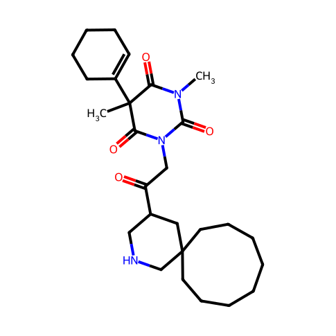 CN1C(=O)N(CC(=O)C2CNCC3(CCCCCCCC3)C2)C(=O)C(C)(C2=CCCCC2)C1=O